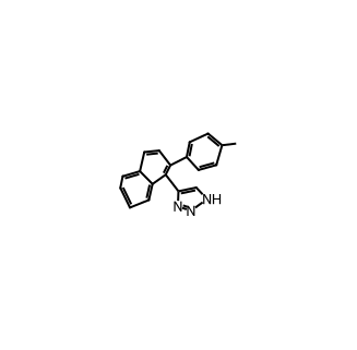 Cc1ccc(-c2ccc3ccccc3c2-c2c[nH]nn2)cc1